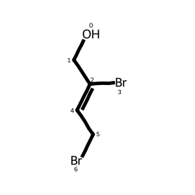 OCC(Br)=CCBr